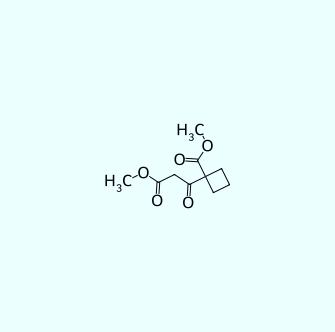 COC(=O)CC(=O)C1(C(=O)OC)CCC1